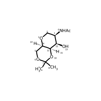 CC(=O)N[C@@H]1CO[C@@H]2COC(C)(C)O[C@@H]2[C@@H]1O